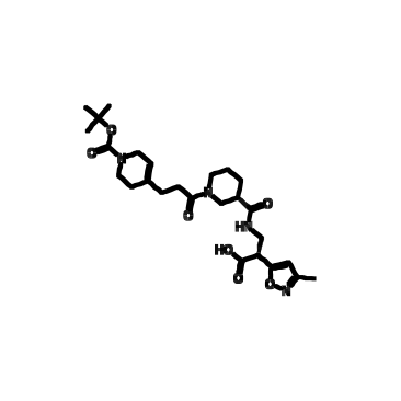 Cc1cc([C@H](CNC(=O)[C@@H]2CCCN(C(=O)CCC3=CCN(C(=O)OC(C)(C)C)CC3)C2)C(=O)O)on1